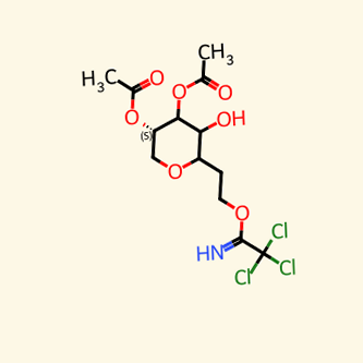 CC(=O)OC1C(O)C(CCOC(=N)C(Cl)(Cl)Cl)OC[C@@H]1OC(C)=O